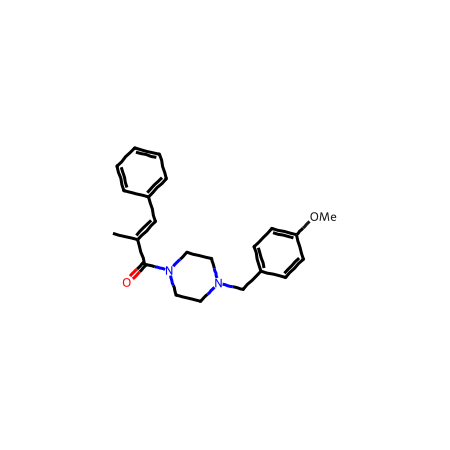 COc1ccc(CN2CCN(C(=O)C(C)=Cc3ccccc3)CC2)cc1